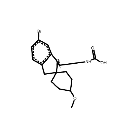 COC1CCC2(CC1)Cc1ccc(Br)cc1C21COC(NC(=O)O)=N1